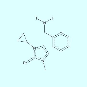 Cn1ccn(C2CC2)[c]1=[Pt].IN(I)Cc1ccccc1